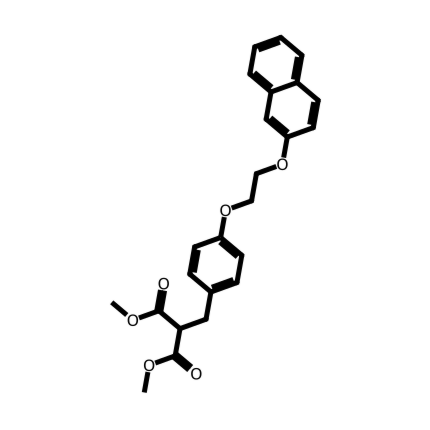 COC(=O)C(Cc1ccc(OCCOc2ccc3ccccc3c2)cc1)C(=O)OC